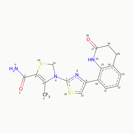 NC(=O)C1=C(C(F)(F)F)N(c2nc(-c3cccc4c3NC(=O)CC4)cs2)CS1